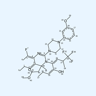 CC/C=C1\C(=C(/C)F)N=C(N2CCN(c3cccc(OC)c3)CC2)N(C(=C/C(C)C(F)(F)F)/C(O)=C\CC)C1(C)CC(=O)OC